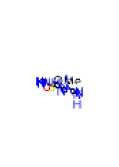 COc1cc(-c2nccc(Nc3ccc4[nH]ncc4c3)n2)cc2sc(C(=O)Nc3ccnnc3)cc12